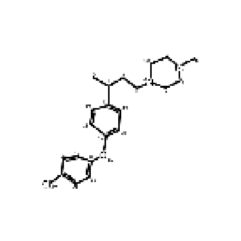 CC(CCN1CCN(C)CC1)c1ccc(Oc2ccc(Cl)cc2)cc1